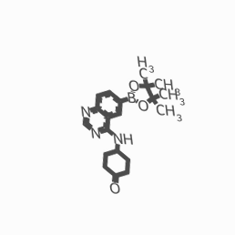 CC1(C)OB(c2ccc3ncnc(NC4CCC(=O)CC4)c3c2)OC1(C)C